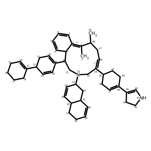 C/C1=C2/C=CC=CC2C(C2=CCC(C3=CCCCC3)C=C2)CN(C2C=CC3CCC=CC3C2)C/C(C2CC=C(C3=CNCC3)CC2)=C\CC1C